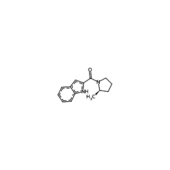 C[C@@H]1CCCN1C(=O)c1cc2ccccc2[nH]1